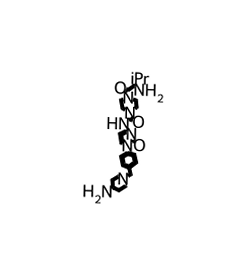 CC(C)[C@H](N)C(=O)N1CCN(C(=O)Nc2ccn(-c3ccc(CN4CCC(N)CC4)cc3)c(=O)n2)CC1